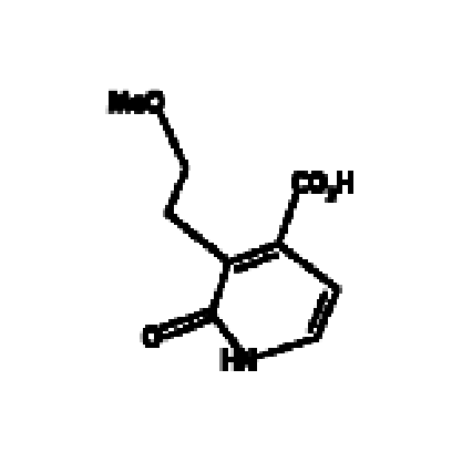 COCCc1c(C(=O)O)cc[nH]c1=O